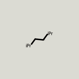 [CH2]C(C)[CH]CC(C)C